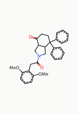 COc1cccc(OC)c1CC(=O)N1CC2C(=O)CCC(c3ccccc3)(c3ccccc3)C2C1